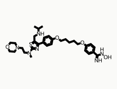 CC(C)NCc1sc(N(C)CCN2CCOCC2)nc1-c1ccc(OCCCCCOc2ccc(C(=N)NO)cc2)cc1